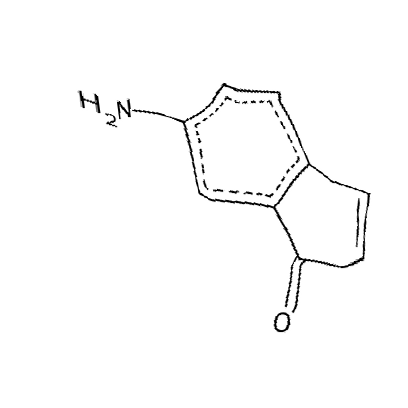 Nc1ccc2c(c1)C(=O)C=C2